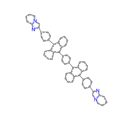 c1ccc2c(-c3ccc(-c4c5ccccc5c(-c5ccc(-c6cn7ccccc7n6)cc5)c5ccccc45)cc3)c3ccccc3c(-c3ccc(-c4cn5ccccc5n4)cc3)c2c1